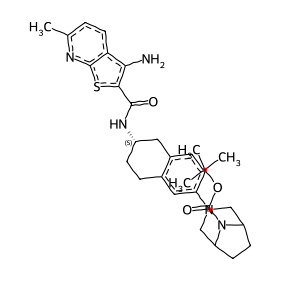 Cc1ccc2c(N)c(C(=O)N[C@H]3CCc4cc(N5CC6CCC(C5)N6C(=O)OC(C)(C)C)ccc4C3)sc2n1